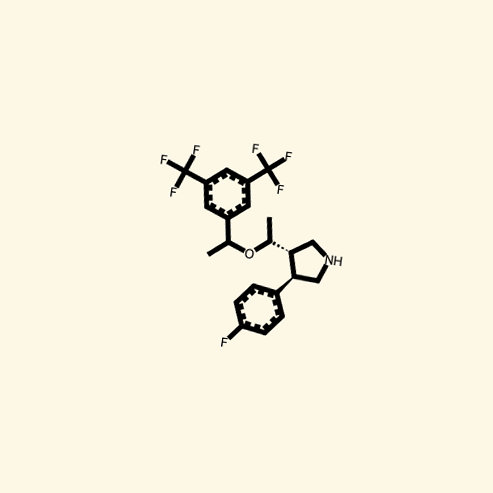 CC(OC(C)[C@@H]1CNC[C@H]1c1ccc(F)cc1)c1cc(C(F)(F)F)cc(C(F)(F)F)c1